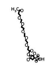 CC(=O)CCOCCOCCOCCOCCOCCC(=O)ON1C(=O)CC(S(=O)(=O)O)C1=O